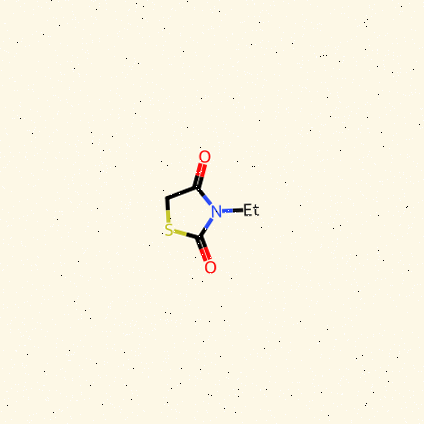 CCN1C(=O)CSC1=O